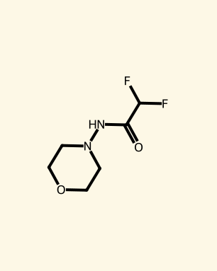 O=C(NN1CCOCC1)C(F)F